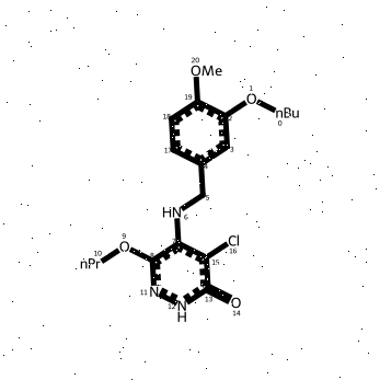 CCCCOc1cc(CNc2c(OCCC)n[nH]c(=O)c2Cl)ccc1OC